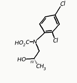 C[C@H](O)CN(C(=O)O)c1ccc(Cl)cc1Cl